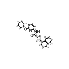 O=C(Nc1ccnc(OC2CCCCC2)n1)N1CC(N2CCCc3cnccc32)C1